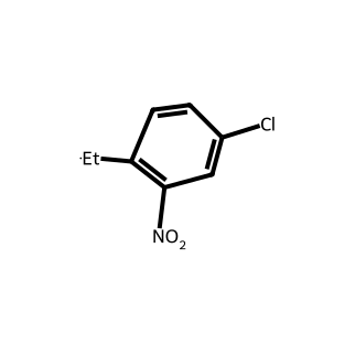 C[CH]c1ccc(Cl)cc1[N+](=O)[O-]